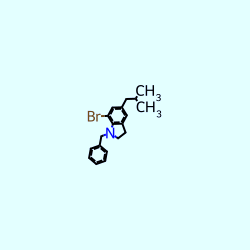 CC(C)Cc1cc(Br)c2c(c1)CCN2Cc1ccccc1